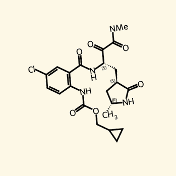 CNC(=O)C(=O)[C@H](C[C@@H]1C[C@@H](C)NC1=O)NC(=O)c1cc(Cl)ccc1NC(=O)OCC1CC1